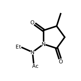 CCN(C(C)=O)N1C(=O)CC(C)C1=O